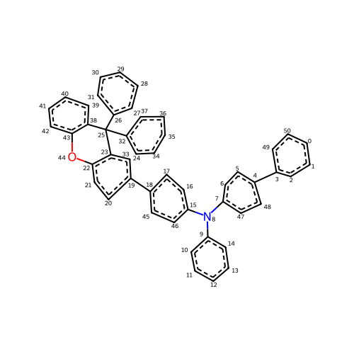 c1ccc(-c2ccc(N(c3ccccc3)c3ccc(-c4ccc5c(c4)C(c4ccccc4)(c4ccccc4)c4ccccc4O5)cc3)cc2)cc1